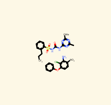 COc1nc(C)nc(NC(=O)NS(=O)(=O)c2ccccc2CCC(F)(F)F)n1.Nc1c([N+](=O)[O-])ccc(Oc2ccccc2)c1Cl